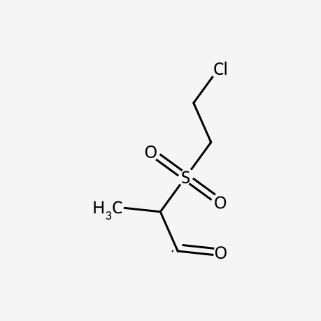 CC([C]=O)S(=O)(=O)CCCl